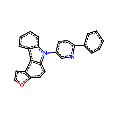 c1ccc(-c2ccc(-n3c4ccccc4c4c5ccoc5ccc43)cn2)cc1